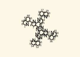 c1cnc2c(-c3ccc4c(n3)c3nc(-c5cccc6cccnc56)ccc3c3nc5c6ncc(-c7cccc8cccnc78)nc6c6nc(-c7cccc8cccnc78)cnc6c5nc43)cccc2c1